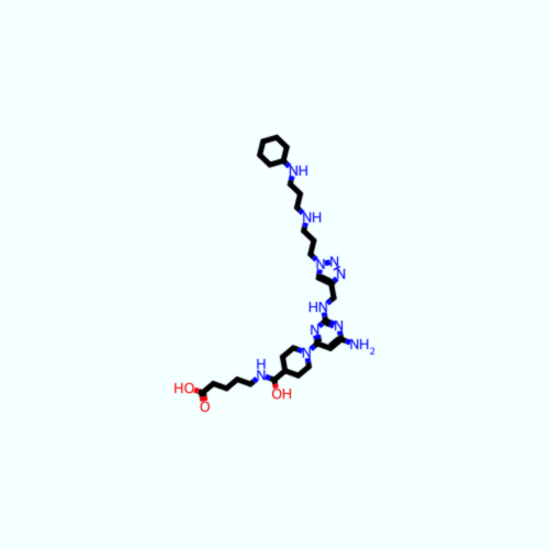 Nc1cc(N2CCC(C(O)NCCCCC(=O)O)CC2)nc(NCc2cn(CCCNCCCNC3CCCCC3)nn2)n1